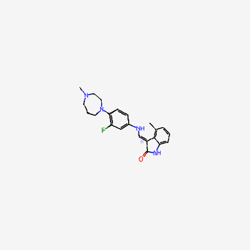 Cc1cccc2c1/C(=C\Nc1ccc(N3CCCN(C)CC3)c(F)c1)C(=O)N2